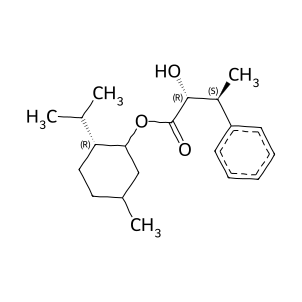 CC1CC[C@H](C(C)C)C(OC(=O)[C@H](O)[C@@H](C)c2ccccc2)C1